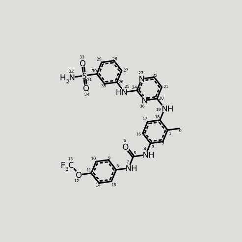 Cc1cc(NC(=O)Nc2ccc(OC(F)(F)F)cc2)ccc1Nc1ccnc(Nc2cccc(S(N)(=O)=O)c2)n1